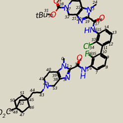 Cn1c(C(=O)Nc2cccc(-c3cccc(NC(=O)c4nc5c(n4C)CCN(C(=O)OC(C)(C)C)C5)c3Cl)c2F)nc2c1CCN(CCC13CCC(C(=O)O)(CC1)C3)C2